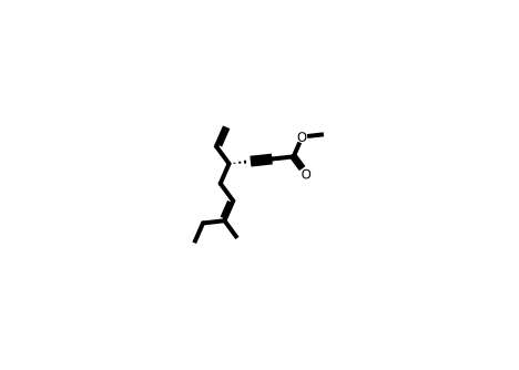 C=C[C@H](C#CC(=O)OC)C/C=C(/C)CC